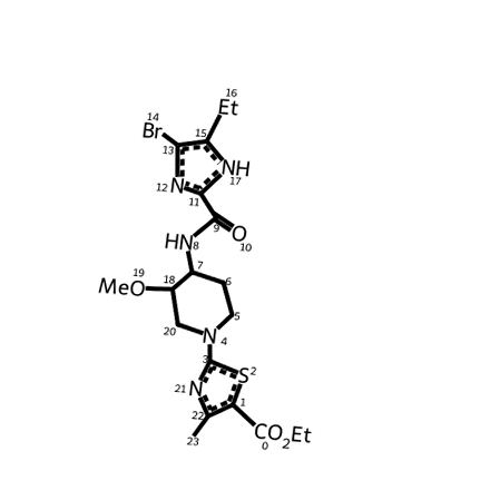 CCOC(=O)c1sc(N2CCC(NC(=O)c3nc(Br)c(CC)[nH]3)C(OC)C2)nc1C